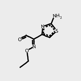 CCON=C([C]=O)c1csc(N)n1